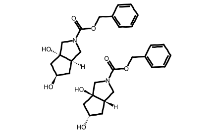 O=C(OCc1ccccc1)N1C[C@@H]2C[C@H](O)C[C@]2(O)C1.O=C(OCc1ccccc1)N1C[C@H]2C[C@@H](O)C[C@@]2(O)C1